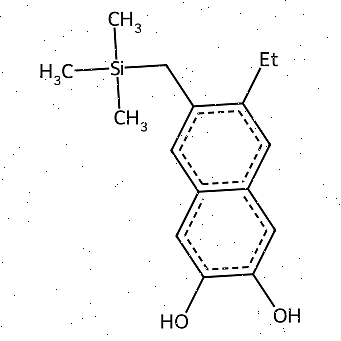 CCc1cc2cc(O)c(O)cc2cc1C[Si](C)(C)C